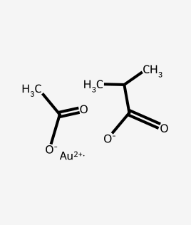 CC(=O)[O-].CC(C)C(=O)[O-].[Au+2]